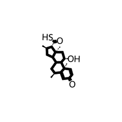 C[C@@H]1CC2C3C[C@H](C)C4=CC(=O)C=C[C@]4(C)C3[C@@H](O)C[C@]2(C)[C@H]1C(=O)S